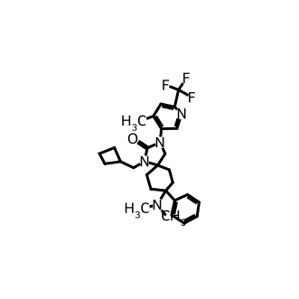 Cc1cc(C(F)(F)F)ncc1N1CC2(CCC(c3ccccc3)(N(C)C)CC2)N(CC2CCC2)C1=O